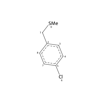 [CH2]SCc1ccc(Cl)cc1